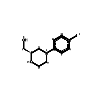 OC[C@@H]1CN(c2ccc(I)cc2)CCO1